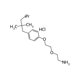 CC(C)CC(C)(C)Cc1ccc(OCCOCCN)cc1.Cl